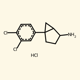 Cl.NC1CCC2(c3ccc(Cl)c(Cl)c3)CC12